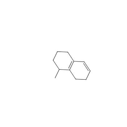 CC1CCCC2=C1CCC=C2